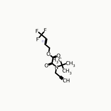 C#CCN(C(=O)C(=O)OC/C=C/C(F)(F)F)C(C)(C)C